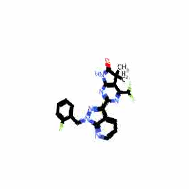 CC1(C)C(=O)Nc2nc(-c3nn(Cc4ccccc4F)c4ncccc34)nc(C(F)F)c21